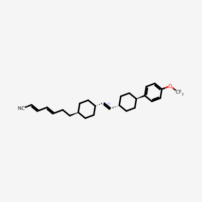 N#CC=CC=CCC[C@H]1CC[C@H](/C=C/[C@H]2CC[C@H](c3ccc(OC(F)(F)F)cc3)CC2)CC1